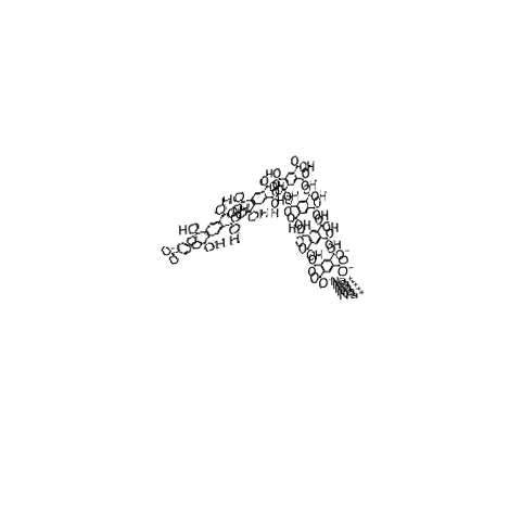 O=C(O)c1cc(C(=O)O)c(C(=O)O)cc1C(=O)O.O=C(O)c1cc(C(=O)O)c(C(=O)O)cc1C(=O)O.O=C(O)c1cc(C(=O)O)c(C(=O)O)cc1C(=O)O.O=C(O)c1cc(C(=O)O)c(C(=O)O)cc1C(=O)O.O=C(O)c1cc(C(=O)O)c(C(=O)O)cc1C(=O)O.O=C([O-])c1cc(C(=O)[O-])c(C(=O)[O-])cc1C(=O)[O-].O=C([O-])c1ccccc1.[Na+].[Na+].[Na+].[Na+].[Na+]